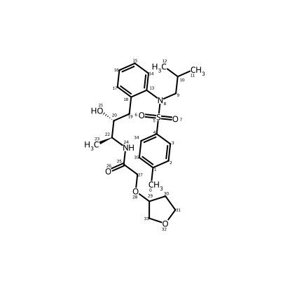 Cc1ccc(S(=O)(=O)N(CC(C)C)c2ccccc2C[C@@H](O)[C@H](C)NC(=O)COC2CCOC2)cc1